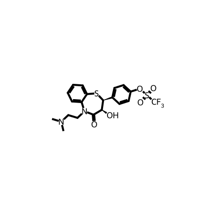 CN(C)CCN1C(=O)[C@H](O)[C@H](c2ccc(OS(=O)(=O)C(F)(F)F)cc2)Sc2ccccc21